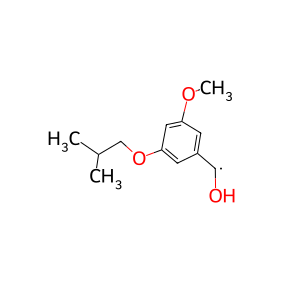 COc1cc([CH]O)cc(OCC(C)C)c1